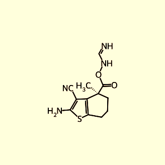 C[C@]1(C(=O)ONC=N)CCCc2sc(N)c(C#N)c21